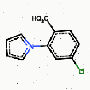 O=C(O)c1ccc(Cl)cc1-n1cccc1